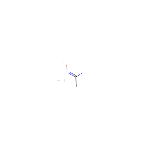 CC(N)=NO.Cl